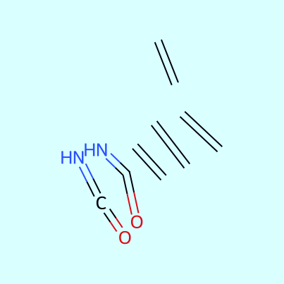 C=C.C=C.C=C.C=C.N=C=O.N=C=O